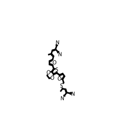 C/C(C=C(C#N)C#N)=C\c1ccc(-c2sc(-c3ccc(CSC(C)C=C(C#N)C#N)o3)c3c2OCCO3)o1